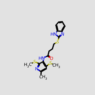 CSc1cc(C)nc(SC)c1NC(=O)CCCSc1nc2ccccc2[nH]1